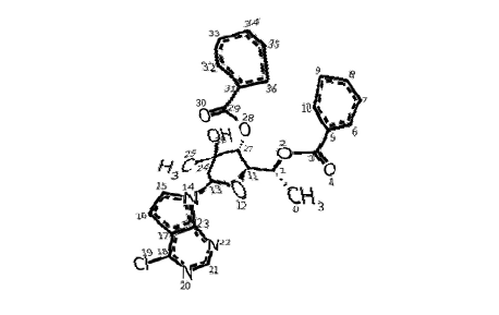 C[C@@H](OC(=O)c1ccccc1)[C@H]1O[C@@H](n2ccc3c(Cl)ncnc32)[C@](C)(O)[C@@H]1OC(=O)c1ccccc1